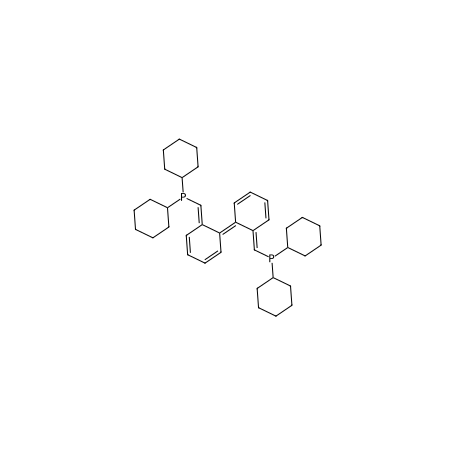 C(=c1ccccc1=c1ccccc1=CP(C1CCCCC1)C1CCCCC1)P(C1CCCCC1)C1CCCCC1